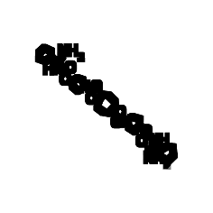 NCC(NC(=O)OC1CCN(C(=O)O[C@H]2CCC[C@H](OC(=O)N3CCC(OC(=O)NC(CN)C4CCCCC4)CC3)CCC2)CC1)C1CCCCC1